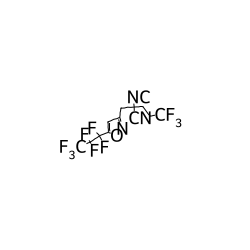 [C-]#[N+]C(C#N)(CCC(F)(F)F)Cc1cc(C(F)(F)C(F)(F)C(F)(F)F)on1